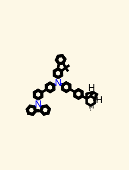 C[C@H]1C[C@H]2C[C@H]3CC(c4ccc(-c5ccc(N(c6ccc(-c7cccc(-n8c9ccccc9c9ccccc98)c7)cc6)c6ccc7c(c6)C(C)(C)c6ccccc6-7)cc5)cc4)(C1)C23